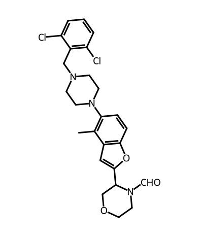 Cc1c(N2CCN(Cc3c(Cl)cccc3Cl)CC2)ccc2oc(C3COCCN3C=O)cc12